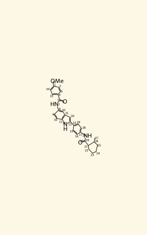 COc1ccc(C(=O)Nc2ccc3[nH]c(-c4ccc(NC(=O)C5CCCCC5C)cc4)cc3c2)cc1